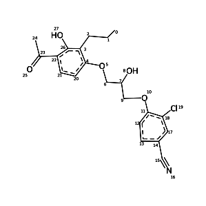 CCCc1c(OCC(O)COc2ccc(C#N)cc2Cl)ccc(C(C)=O)c1O